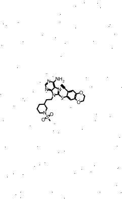 C#Cc1cc2c(cc1Sc1nc3c(N)ncnc3n1CCC1CCCN(S(C)(=O)=O)C1)OCCO2